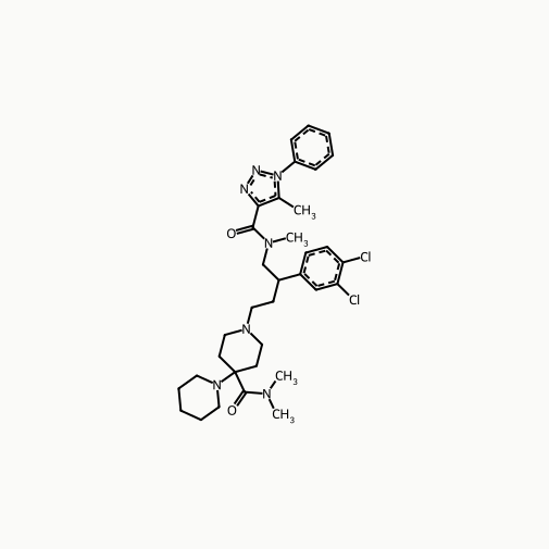 Cc1c(C(=O)N(C)CC(CCN2CCC(C(=O)N(C)C)(N3CCCCC3)CC2)c2ccc(Cl)c(Cl)c2)nnn1-c1ccccc1